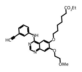 C#Cc1cccc(Nc2ncnc3cc(OCCOC)c(OCCCCCCC(=O)OCC)cc23)c1